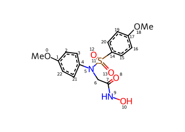 COc1ccc(N(CC(=O)NO)S(=O)(=O)c2ccc(OC)cc2)cc1